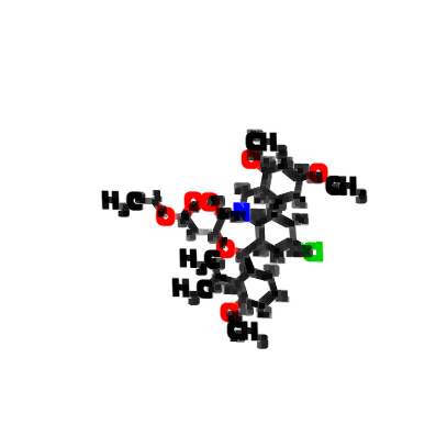 CCOC(=O)C[C@H]1O[C@H](c2cccc(OC)c2C(C)C)c2cc(Cl)ccc2N(Cc2ccc(OC)cc2OC)C1=O